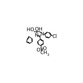 CS(=O)(=O)c1ccc(C2=NC(O)(CO)CN2c2ccc(Cl)cc2)cc1.c1ccccc1